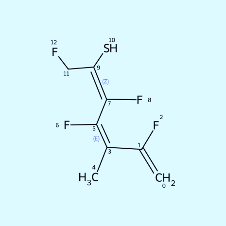 C=C(F)/C(C)=C(F)\C(F)=C(\S)CF